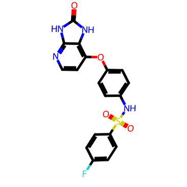 O=c1[nH]c2nccc(Oc3ccc(NS(=O)(=O)c4ccc(F)cc4)cc3)c2[nH]1